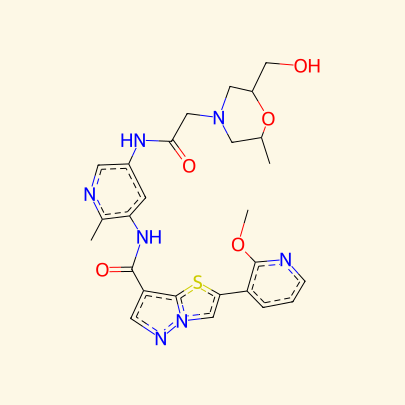 COc1ncccc1-c1cn2ncc(C(=O)Nc3cc(NC(=O)CN4CC(C)OC(CO)C4)cnc3C)c2s1